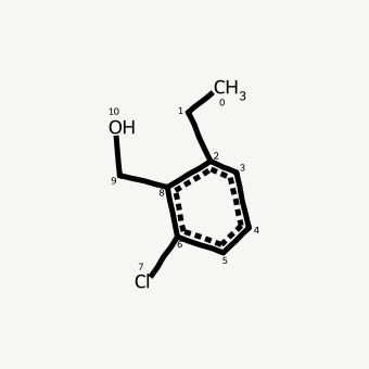 CCc1cccc(Cl)c1CO